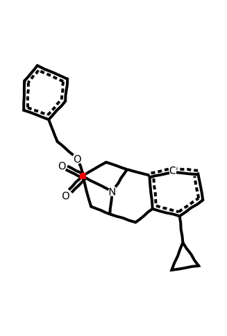 O=C1CC2Cc3c(C4CC4)cccc3C(C1)N2C(=O)OCc1ccccc1